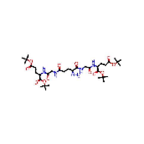 CC(C)(C)OC(=O)CCC(NC(=O)CNC(=O)CCC(N)C(=O)NCC(=O)NC(CCC(=O)OC(C)(C)C)C(=O)OC(C)(C)C)C(=O)OC(C)(C)C